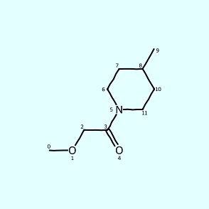 COCC(=O)N1CCC(C)CC1